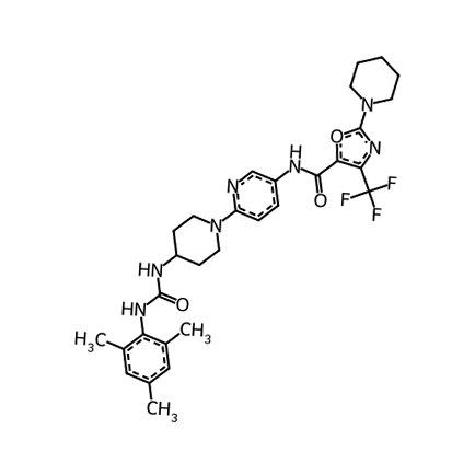 Cc1cc(C)c(NC(=O)NC2CCN(c3ccc(NC(=O)c4oc(N5CCCCC5)nc4C(F)(F)F)cn3)CC2)c(C)c1